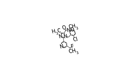 Cc1ccc(Cl)c(Cn2c(-c3cncc(C(C)F)c3)nc(C)c2C(=O)N=O)c1